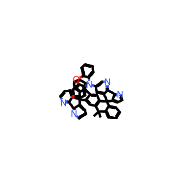 CC1(C)c2ccccc2C2(c3cc4c(cc31)C1(c3ccccc3-4)c3cccnc3-c3ncccc31)c1cccnc1-c1ncc(N3c4ccccc4Oc4ccccc43)cc12